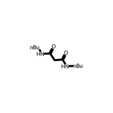 CCCCNC(=O)CC(=O)NCCCC